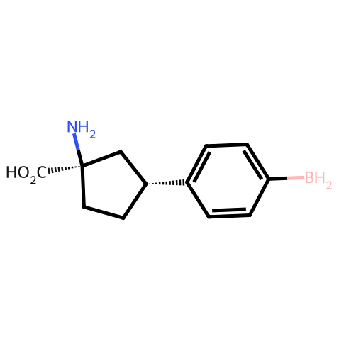 Bc1ccc([C@@H]2CC[C@](N)(C(=O)O)C2)cc1